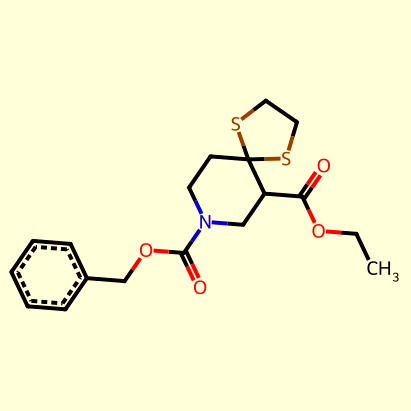 CCOC(=O)C1CN(C(=O)OCc2ccccc2)CCC12SCCS2